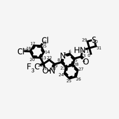 CC1(NC(=O)c2cnc(C3=NOC(c4cc(Cl)cc(Cl)c4)(C(F)(F)F)C3)c3ccccc23)CSC1